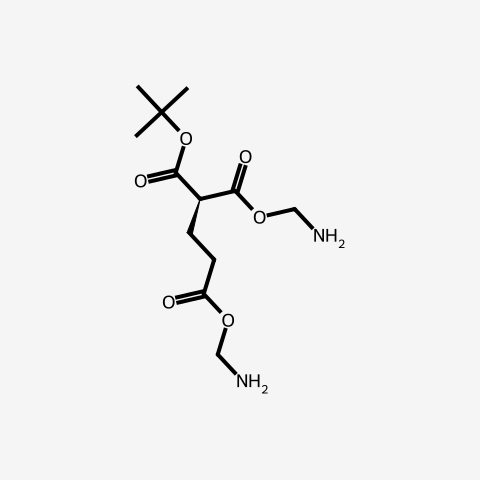 CC(C)(C)OC(=O)[C@H](CCC(=O)OCN)C(=O)OCN